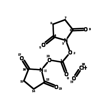 O=C(ON1C(=O)CCC1=O)ON1C(=O)CCC1=O.[CH]=O